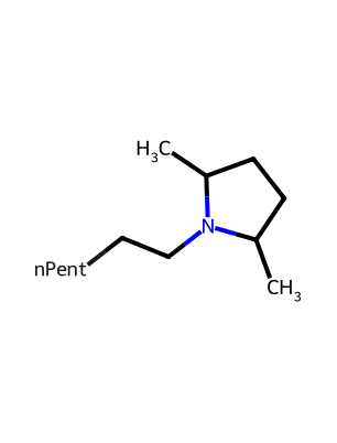 CCCCCCCN1C(C)CCC1C